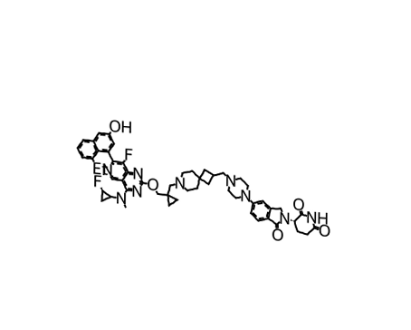 CCc1cccc2cc(O)cc(-c3ncc4c(N(C)C5C[C@H]5F)nc(OCC5(CN6CCC7(CC6)CC(CN6CCN(c8ccc9c(c8)CN([C@H]8CCC(=O)NC8=O)C9=O)CC6)C7)CC5)nc4c3F)c12